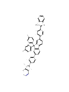 C/C=C\c1nc(-c2ccc(-c3ccc4c(c3)C(c3ccc(C)cc3)(c3ccc(C)cc3)c3cc(-c5ccc(-c6nc7ccccc7n6C)cc5)ccc3-4)cc2)n(C)c1C